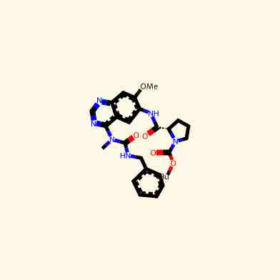 COc1cc2ncnc(N(C)C(=O)NCc3ccccc3)c2cc1NC(=O)[C@@H]1CCCN1C(=O)OC(C)(C)C